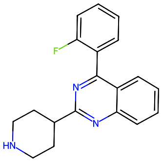 Fc1ccccc1-c1nc(C2CCNCC2)nc2ccccc12